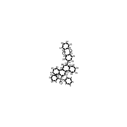 O=P(c1ccccc1)(c1ccccc1)c1cc2c3ccccc3c(-c3ccc4c(c3)Oc3ccccc3O4)cc2c2ccccc12